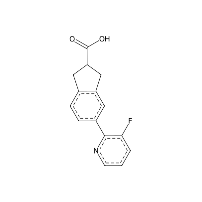 O=C(O)C1Cc2ccc(-c3ncccc3F)cc2C1